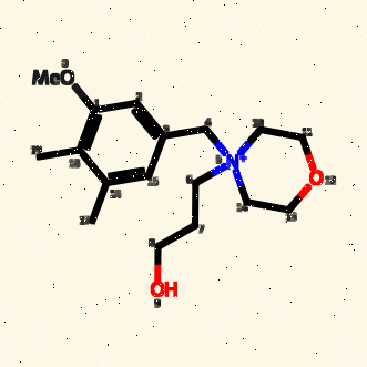 COc1cc(C[N+]2(CCCO)CCOCC2)cc(C)c1C